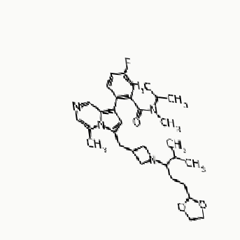 Cc1cncc2c(-c3ccc(F)cc3C(=O)N(C)C(C)C)cc(CC3CN(C(CCC4OCCO4)C(C)C)C3)n12